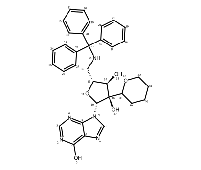 Oc1ncnc2c1ncn2[C@@H]1O[C@H](CNC(c2ccccc2)(c2ccccc2)c2ccccc2)[C@@H](O)[C@]1(O)C1CCCCO1